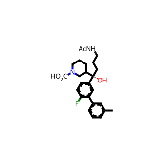 CC(=O)NCCC[C@@](O)(c1ccc(F)c(-c2cccc(C)c2)c1)C1CCCN(C(=O)O)C1